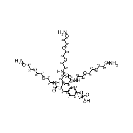 CP(=O)(S)Oc1ccc(CC(C(=O)NCCOCCOCCON)N(CC(=O)NCCOCCOCCON)CC(=O)NCCOCCOCCON)cc1